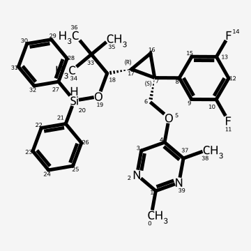 Cc1ncc(OC[C@@]2(c3cc(F)cc(F)c3)C[C@H]2C(O[SiH](c2ccccc2)c2ccccc2)C(C)(C)C)c(C)n1